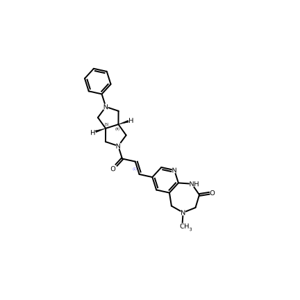 CN1CC(=O)Nc2ncc(/C=C/C(=O)N3C[C@@H]4CN(c5ccccc5)C[C@@H]4C3)cc2C1